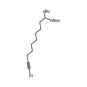 [CH2]CC#CCCCCCCCC(CCCC)CCCCCCCC[CH2]